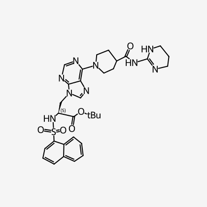 CC(C)(C)OC(=O)[C@H](Cn1cnc2c(N3CCC(C(=O)NC4=NCCCN4)CC3)ncnc21)NS(=O)(=O)c1cccc2ccccc12